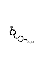 CCOC(=O)CN1CCN(Cc2ccc(C(C)(C)C)cc2)CC1